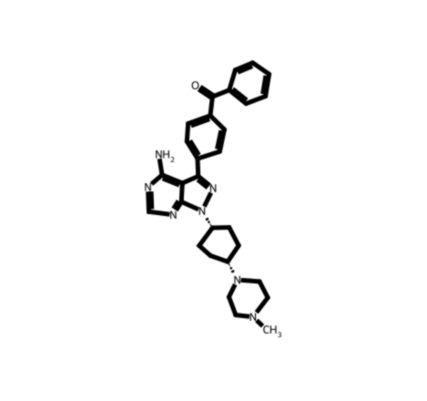 CN1CCN([C@H]2CC[C@@H](n3nc(-c4ccc(C(=O)c5ccccc5)cc4)c4c(N)ncnc43)CC2)CC1